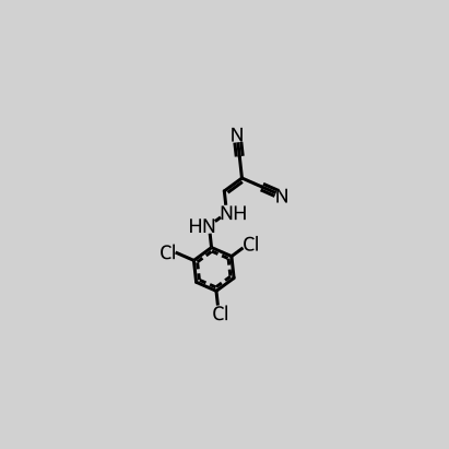 N#CC(C#N)=CNNc1c(Cl)cc(Cl)cc1Cl